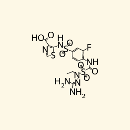 CCN(N=C(N)N)S(=O)(=O)C(=O)Nc1ccc(S(=O)(=O)Nc2scnc2C(=O)O)cc1F